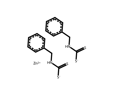 S=C([S-])NCc1ccccc1.S=C([S-])NCc1ccccc1.[Zn+2]